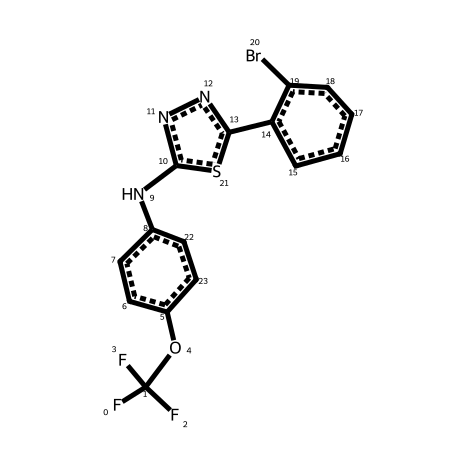 FC(F)(F)Oc1ccc(Nc2nnc(-c3ccccc3Br)s2)cc1